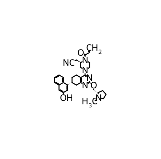 C=CC(=O)N1CCN(c2nc(OC[C@@H]3CCCN3C)nc3c2CC[C@@H](c2cc(O)cc4ccccc24)C3)C[C@H]1CC#N